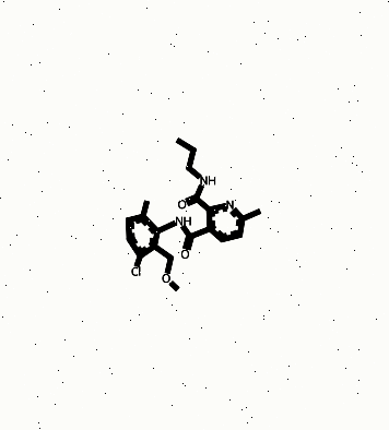 CCCNC(=O)c1nc(C)ccc1C(=O)Nc1c(C)ccc(Cl)c1COC